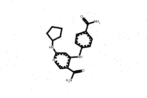 NC(=O)c1ccc(Nc2cc(NC3CCCC3)ncc2C(N)=O)cc1